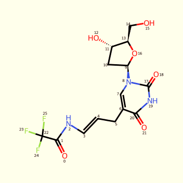 O=C(NC=CCc1cn([C@H]2C[C@H](O)[C@@H](CO)O2)c(=O)[nH]c1=O)C(F)(F)F